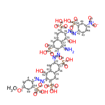 COc1ccc(N=Nc2c(S(=O)(=O)O)cc3cc(S(=O)(=O)O)c(N=Nc4c(S(=O)(=O)O)cc5cc(S(=O)(=O)O)c(N=Nc6ccc([N+](=O)[O-])cc6S(=O)(=O)O)c(O)c5c4N)cc3c2O)c(S(=O)(=O)O)c1